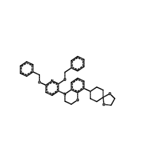 c1ccc(COc2ccc(N3CCOc4c(C5CCC6(CC5)OCCO6)cccc43)c(OCc3ccccc3)n2)cc1